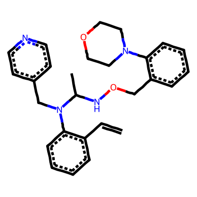 C=Cc1ccccc1N(Cc1ccncc1)C(C)NOCc1ccccc1N1CCOCC1